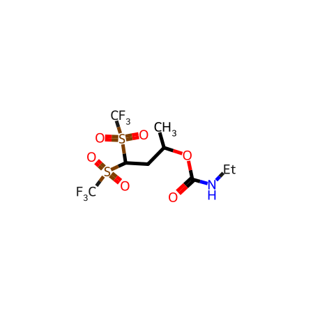 CCNC(=O)OC(C)CC(S(=O)(=O)C(F)(F)F)S(=O)(=O)C(F)(F)F